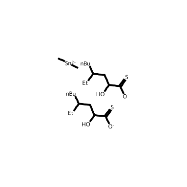 CCCCC(CC)CC(O)C([O-])=S.CCCCC(CC)CC(O)C([O-])=S.[CH3][Sn+2][CH3]